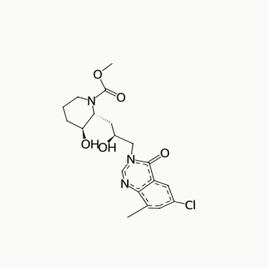 COC(=O)N1CCC[C@H](O)[C@H]1C[C@H](O)Cn1cnc2c(C)cc(Cl)cc2c1=O